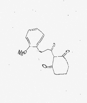 COc1ccccc1CC(=O)C1C(=O)CCCC1=O